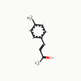 Cc1ccc(C=CC(=O)C(F)(F)F)cc1